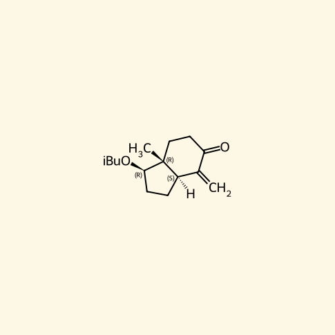 C=C1C(=O)CC[C@]2(C)[C@@H]1CC[C@H]2OCC(C)C